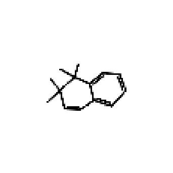 CC1(C)C=Cc2ccccc2C1(C)C